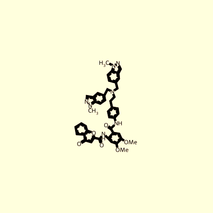 COc1cc(NC(=O)c2cc(=O)c3ccccc3o2)c(C(=O)Nc2ccc(CCN(Cc3ccc4c(cnn4C)c3)Cc3ccc4c(cnn4C)c3)cc2)cc1OC